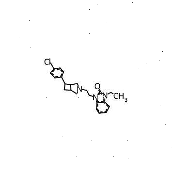 CCn1c(=O)n(CCN2CC3CC(c4ccc(Cl)cc4)C3C2)c2ccccc21